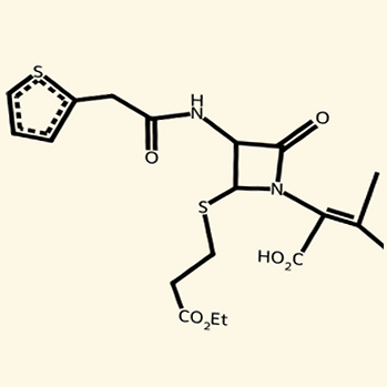 CCOC(=O)CCSC1C(NC(=O)Cc2cccs2)C(=O)N1C(C(=O)O)=C(C)C